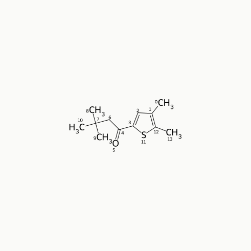 Cc1cc(C(=O)CC(C)(C)C)sc1C